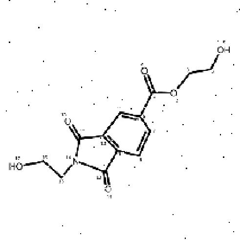 O=C(OCCO)c1ccc2c(c1)C(=O)N(CCO)C2=O